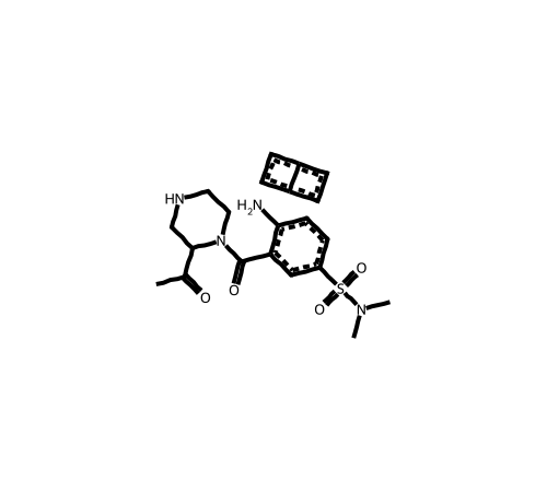 CC(=O)C1CNCCN1C(=O)c1cc(S(=O)(=O)N(C)C)ccc1N.c1cc2ccc1-2